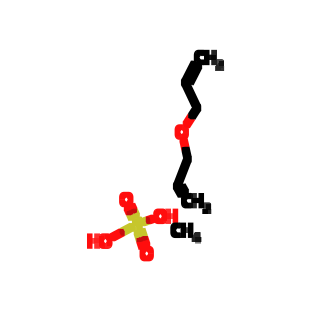 C.C=CCOCC=C.O=S(=O)(O)O